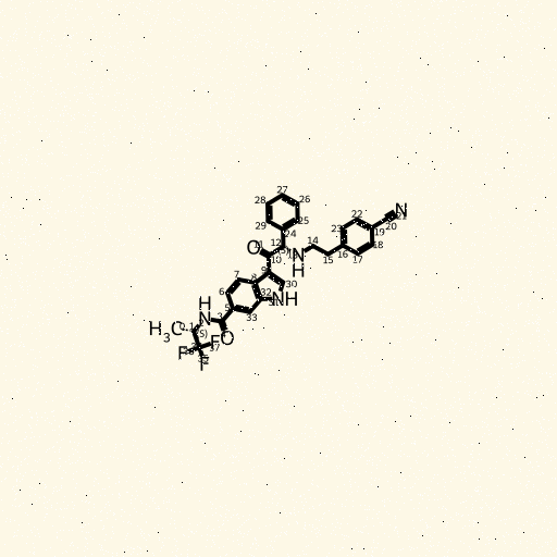 C[C@H](NC(=O)c1ccc2c(C(=O)[C@@H](NCCc3ccc(C#N)cc3)c3ccccc3)c[nH]c2c1)C(F)(F)F